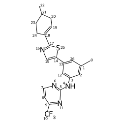 Cc1cc(Nc2nccc(C(F)(F)F)n2)cc(-c2cnc(C3=CCC(C)CC3)s2)c1